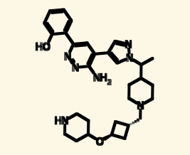 CC(C1CCN(C[C@H]2C[C@H](OC3CCNCC3)C2)CC1)n1cc(-c2cc(-c3ccccc3O)nnc2N)cn1